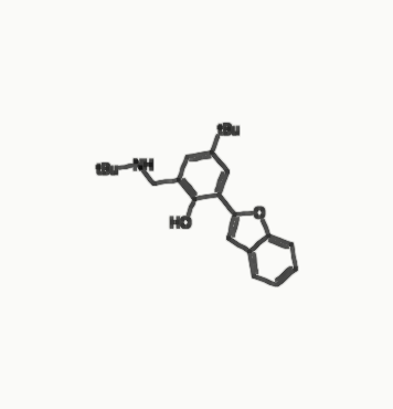 CC(C)(C)NCc1cc(C(C)(C)C)cc(-c2cc3ccccc3o2)c1O